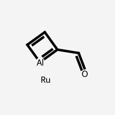 O=C[C]1=[Al][CH]=C1.[Ru]